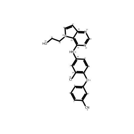 N#Cc1cccc(Oc2ccc(Nc3ncnc4ccn(CCO)c34)cc2Cl)c1